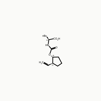 C=C[C@@H]1CCC[C@H]1OC(=O)N[C@@H](CCCC)C(=O)O